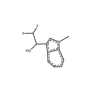 Cn1cc(C(O)C(F)F)c2ccccc21